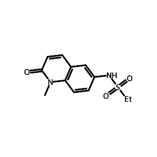 CCS(=O)(=O)Nc1ccc2c(ccc(=O)n2C)c1